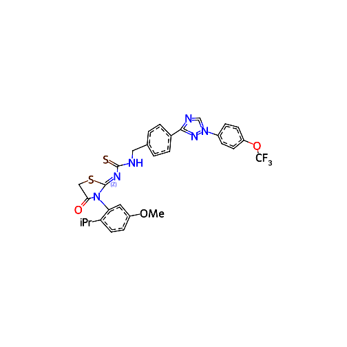 COc1ccc(C(C)C)c(N2C(=O)CS/C2=N\C(=S)NCc2ccc(-c3ncn(-c4ccc(OC(F)(F)F)cc4)n3)cc2)c1